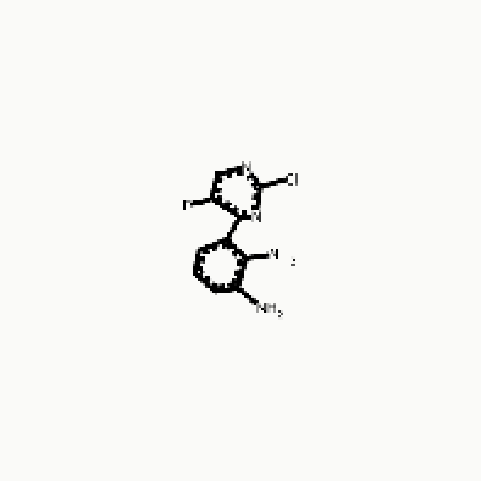 Nc1cccc(-c2nc(Cl)ncc2F)c1N